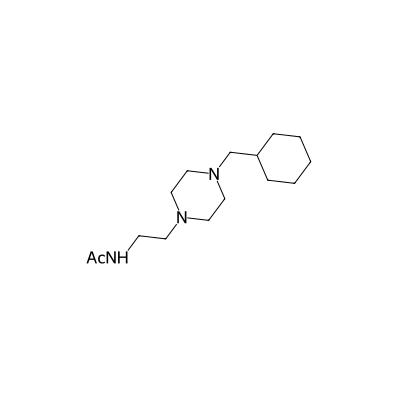 CC(=O)NCCN1CCN(CC2CCCCC2)CC1